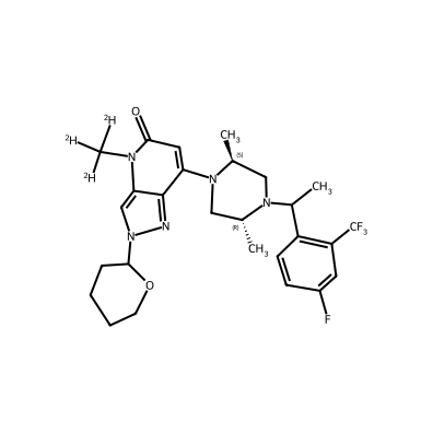 [2H]C([2H])([2H])n1c(=O)cc(N2C[C@@H](C)N(C(C)c3ccc(F)cc3C(F)(F)F)C[C@@H]2C)c2nn(C3CCCCO3)cc21